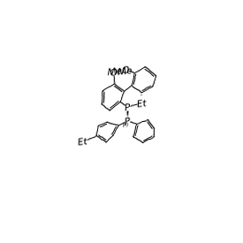 CCc1ccc([P@](c2ccccc2)P(CC)c2cccc(OC)c2-c2[c]cccc2OC)cc1